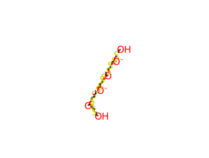 O=C(CSCCSCC[S+]([O-])CSCCSCSC(=O)CSCCSCC[S+]([O-])CCSCCO)SCCSCCO